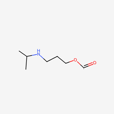 CC(C)NCCCO[C]=O